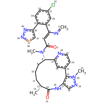 C=N/C(=C\C(=O)N(C)[C@H]1CCC[C@@H](C)C(=O)Nc2cnn(C)c2-c2ccnc1c2)c1cc(Cl)ccc1-c1csnn1